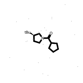 CC(C)(C)[C@@H]1CCN(C(=O)C2CCCC2)C1